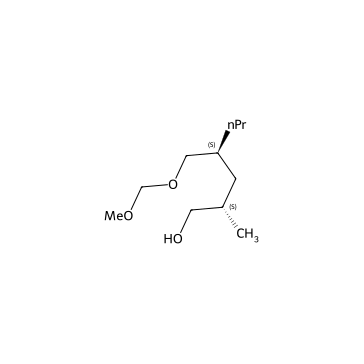 CCC[C@H](COCOC)C[C@H](C)CO